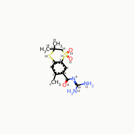 Cc1cc2c(cc1C(=O)N=C(N)N)S(=O)(=O)CC(C)(C)S2